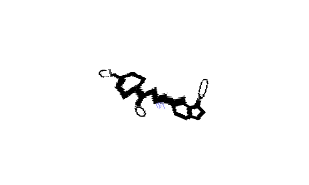 O=C(C/C=C/c1ccc2c(c1)C(=O)CC2)c1ccc(Cl)cc1